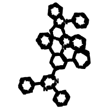 C1#CCC(C2=C(n3c4c(c5ccccc53)-c3c(c5ccccc5n3-c3ccccc3)CC4)C(c3ccccc3)CC(c3cc(-c4ccccc4)nc(-c4ccccc4)n3)=C2)=CC=C1